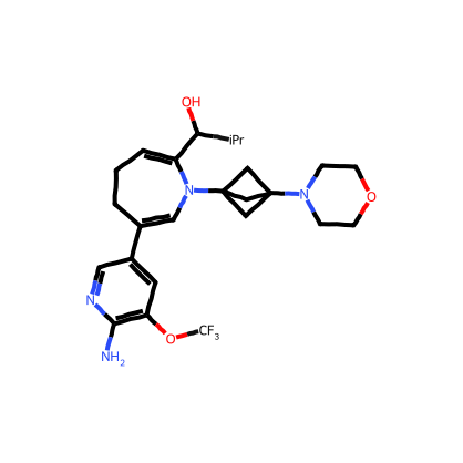 CC(C)C(O)C1=CCCC(c2cnc(N)c(OC(F)(F)F)c2)=CN1C12CC(N3CCOCC3)(C1)C2